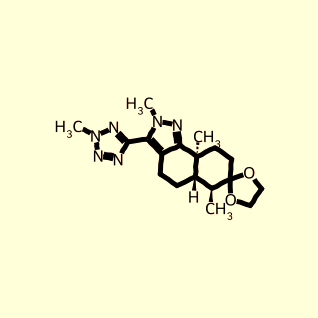 C[C@H]1[C@@H]2CCc3c(nn(C)c3-c3nnn(C)n3)[C@@]2(C)CCC12OCCO2